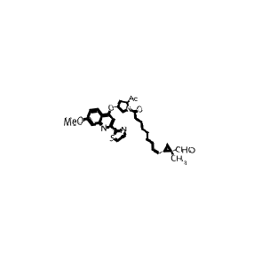 COc1ccc2c(O[C@@H]3C[C@@H](C(C)=O)N(C(=O)CCCCCC/C=C\[C@@H]4C[C@]4(C)C=O)C3)cc(-c3nccs3)nc2c1